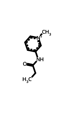 CCC(=O)Nc1ccc[n+](C)c1